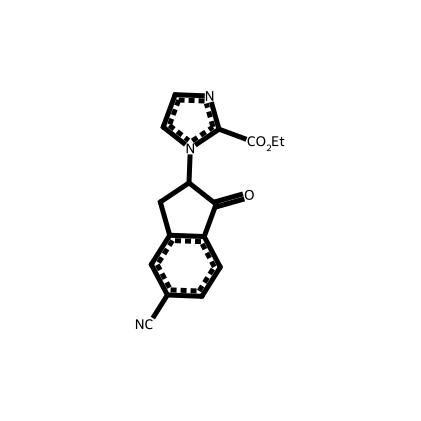 CCOC(=O)c1nccn1C1Cc2cc(C#N)ccc2C1=O